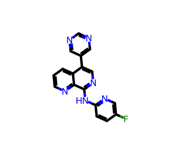 Fc1ccc(Nc2ncc(-c3cncnc3)c3cccnc23)nc1